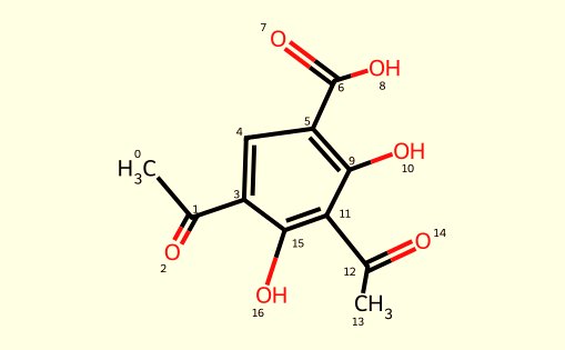 CC(=O)c1cc(C(=O)O)c(O)c(C(C)=O)c1O